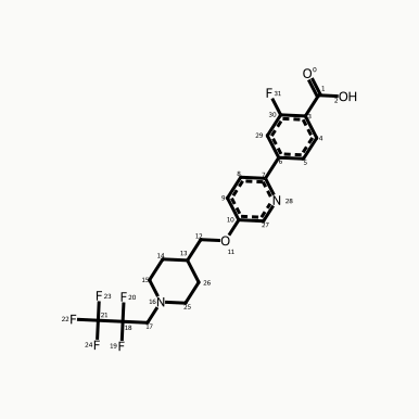 O=C(O)c1ccc(-c2ccc(OCC3CCN(CC(F)(F)C(F)(F)F)CC3)cn2)cc1F